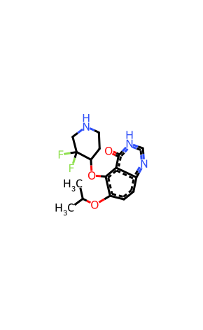 CC(C)Oc1ccc2nc[nH]c(=O)c2c1OC1CCNCC1(F)F